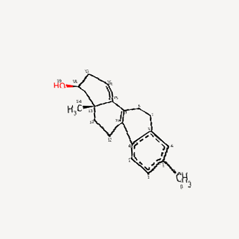 Cc1ccc2c(c1)CCC1=C2CC[C@@]2(C)C1=CC[C@@H]2O